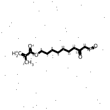 C=C(C)C(=O)OCCCCCCCC(=O)CP=O